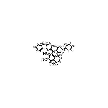 CC1(C)CCC(C)(C)c2c(N3c4ccc(-c5ccccc5)cc4Oc4cc5oc6ccccc6c5cc43)c(C#N)c(C#N)c(C#N)c21